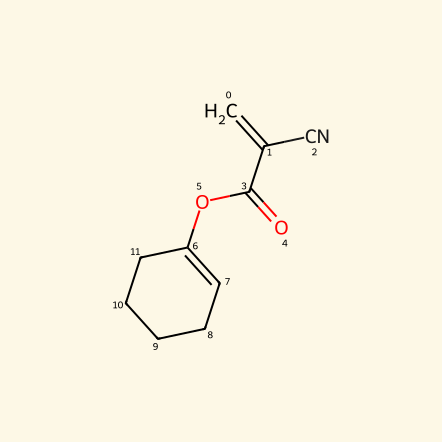 C=C(C#N)C(=O)OC1=CCCCC1